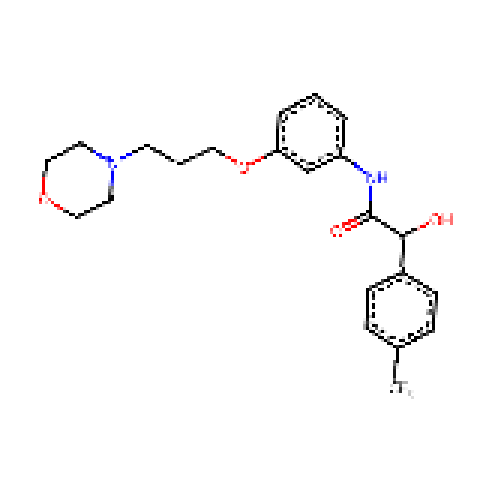 O=C(Nc1cccc(OCCCN2CCOCC2)c1)C(O)c1ccc(C(F)(F)F)cc1